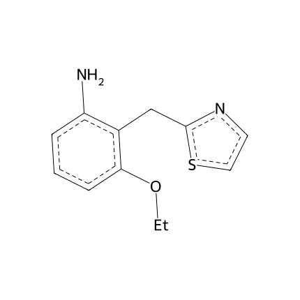 CCOc1cccc(N)c1Cc1nccs1